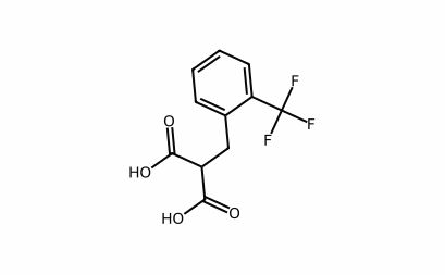 O=C(O)C(Cc1ccccc1C(F)(F)F)C(=O)O